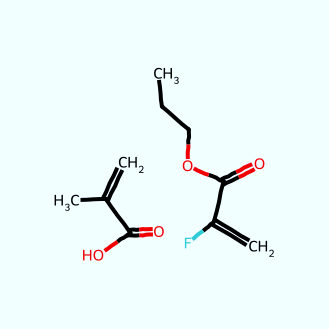 C=C(C)C(=O)O.C=C(F)C(=O)OCCC